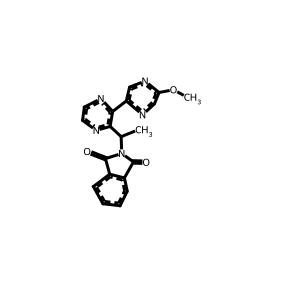 COc1cnc(-c2nccnc2C(C)N2C(=O)c3ccccc3C2=O)cn1